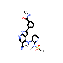 CNC(=O)c1cccc(-c2cc3c(N(C)c4cccnc4N(C)S(C)(=O)=O)c(C#N)cnc3[nH]2)c1